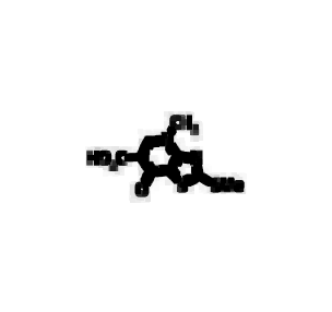 CSc1nc2c(s1)c(=O)c(C(=O)O)cn2C